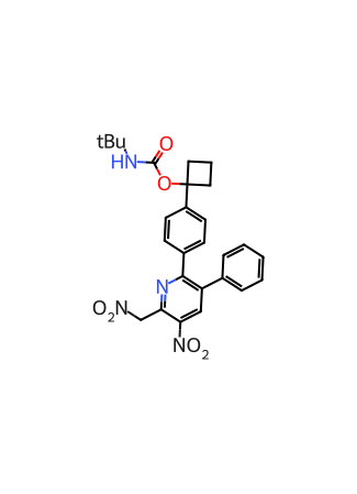 CC(C)(C)NC(=O)OC1(c2ccc(-c3nc(C[N+](=O)[O-])c([N+](=O)[O-])cc3-c3ccccc3)cc2)CCC1